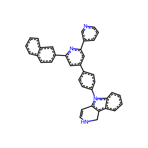 C1=Cc2c(c3ccccc3n2-c2ccc(-c3cc(-c4cccnc4)nc(-c4ccc5ccccc5c4)c3)cc2)CN1